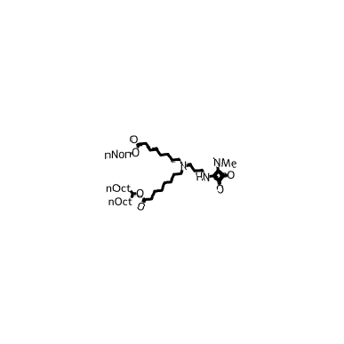 CCCCCCCCCOC(=O)CCCCCCCN(CCCCCCCC(=O)OC(CCCCCCCC)CCCCCCCC)CCCNc1c(NC)c(=O)c1=O